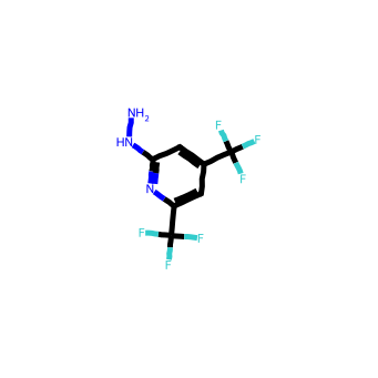 NNc1cc(C(F)(F)F)cc(C(F)(F)F)n1